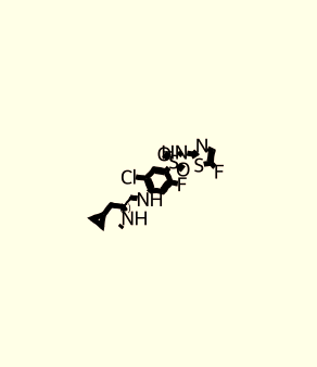 CN[C@H](CNc1cc(F)c(S(=O)(=O)Nc2ncc(F)s2)cc1Cl)CC1CC1